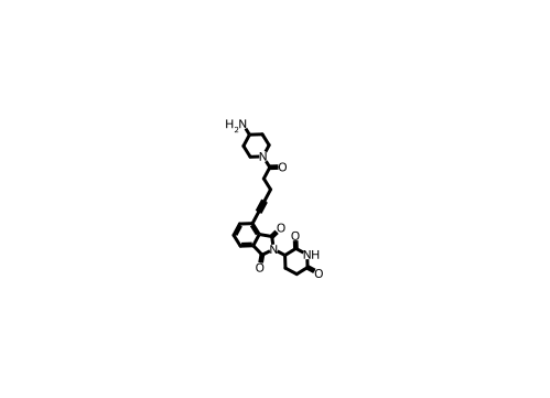 NC1CCN(C(=O)CCC#Cc2cccc3c2C(=O)N(C2CCC(=O)NC2=O)C3=O)CC1